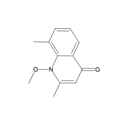 COn1c(C)cc(=O)c2cccc(C)c21